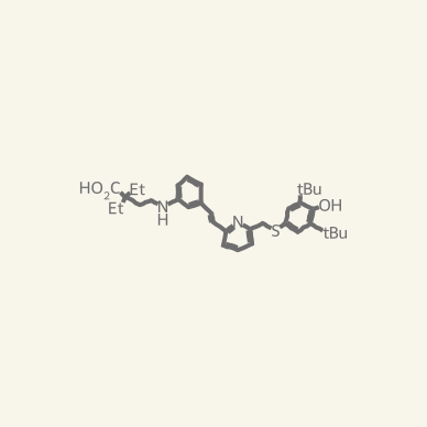 CCC(CC)(CCNc1cccc(C=Cc2cccc(CSc3cc(C(C)(C)C)c(O)c(C(C)(C)C)c3)n2)c1)C(=O)O